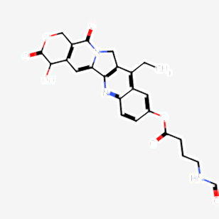 CCc1c2c(nc3ccc(OC(=O)CCCNC=O)cc13)-c1cc3c(c(=O)n1C2)COC(=O)C3O